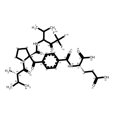 CC(C)C(NC(=O)[C@]1(C(=O)c2ccc(C(=O)N[C@@H](CCC(=O)O)C(=O)O)cc2)CCCN1C(=O)[C@@H](N)C(C)C)C(=O)C(F)(F)F